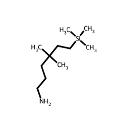 CC(C)(CCCN)CC[Si](C)(C)C